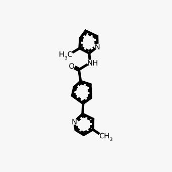 Cc1ccnc(-c2ccc(C(=O)Nc3ncccc3C)cc2)c1